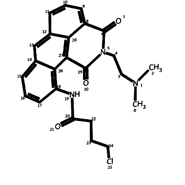 CN(C)CCN1C(=O)c2cccc3cc4cccc(NC(=O)CCCCl)c4c(c23)C1=O